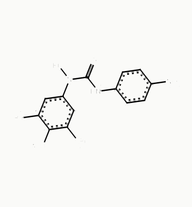 CCN(C(=O)Nc1ccc([N+](=O)[O-])cc1)c1cc(C(C)(C)C)c(OC(C)=O)c(C(C)(C)C)c1